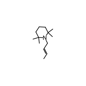 CC=CCN1C(C)(C)CCCC1(C)C